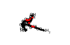 Cc1cc(C)c(S(=O)(=O)NC(CNC(=O)C2CC(=O)c3ccc(CNc4ncc[nH]4)cc3N2CCCNC(=O)CCC(=O)NCCCOCCOCCOCCCN)C(=O)O)c(C)c1.O=C(O)C(F)(F)F.O=C(O)C(F)(F)F